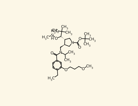 CCc1ccc(C(=O)N(C[C@@H]2CN(C(=O)OC(C)(C)C)C[C@H]2C(O[SiH](C)C)C(C)(C)C)C(C)C)cc1OCCCOC